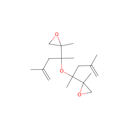 C=C(C)CC(C)(OC(C)(CC(=C)C)C1(C)CO1)C1(C)CO1